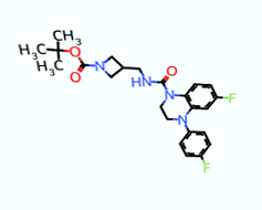 CC(C)(C)OC(=O)N1CC(CNC(=O)N2CCN(c3ccc(F)cc3)c3cc(F)ccc32)C1